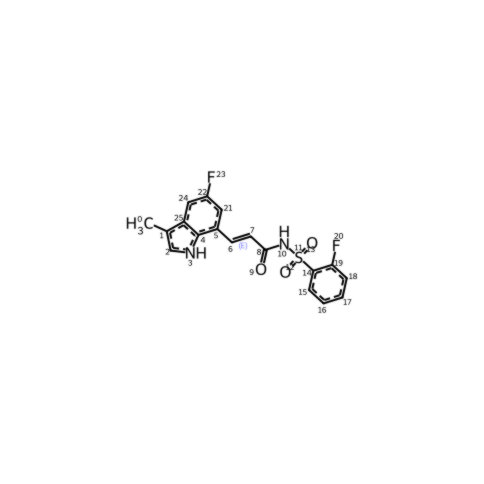 Cc1c[nH]c2c(/C=C/C(=O)NS(=O)(=O)c3ccccc3F)cc(F)cc12